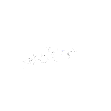 CC1(NS(=O)(=O)c2ccc3c(c2)C(=O)N(C/C=C/C(=O)O)C3=O)CC1